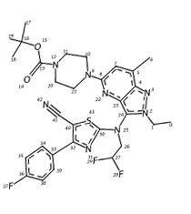 CCn1nc2c(C)cc(N3CCN(C(=O)OC(C)(C)C)CC3)nc2c1N(CC(F)F)c1nc(-c2ccc(F)cc2)c(C#N)s1